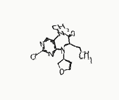 CCC1C(=O)N(C)c2cnc(Cl)nc2N1C1CCOC1